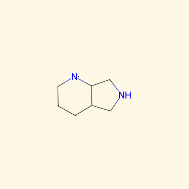 C1C[N]C2CNCC2C1